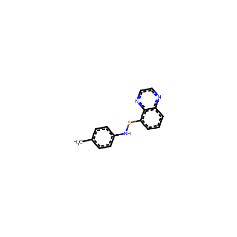 Cc1ccc(NSc2cccc3nccnc23)cc1